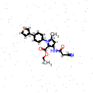 CCOC(=O)c1c(NC(=O)CC#N)cc(C)n1-c1ccc(-c2ccsc2)cc1